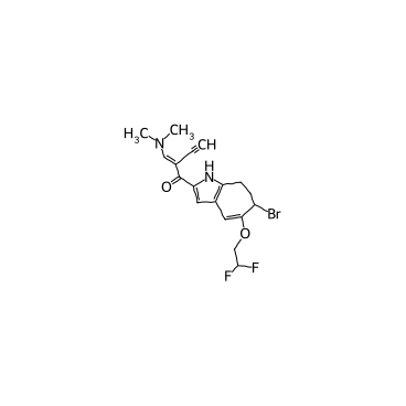 C#C/C(=C\N(C)C)C(=O)c1cc2c([nH]1)CCC(Br)C(OCC(F)F)=C2